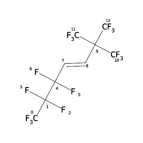 FC(F)(F)C(F)(F)C(F)(F)C=CC(C(F)(F)F)(C(F)(F)F)C(F)(F)F